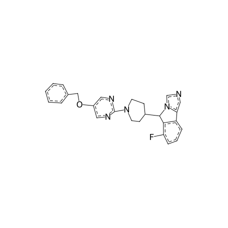 Fc1cccc2c1C(C1CCN(c3ncc(OCc4ccccc4)cn3)CC1)n1cncc1-2